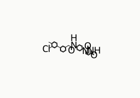 Cc1ccc(-c2cccc(CC(=O)Nc3ccc(-n4ccc(=O)[nH]c4=O)cc3)c2)cc1Cl